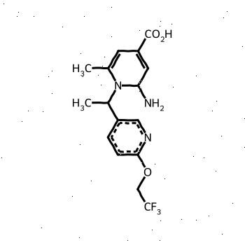 CC1=CC(C(=O)O)=CC(N)N1C(C)c1ccc(OCC(F)(F)F)nc1